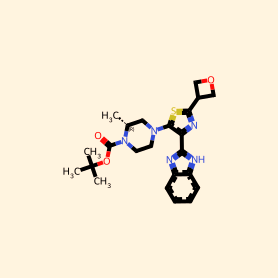 C[C@@H]1CN(c2sc(C3COC3)nc2-c2nc3ccccc3[nH]2)CCN1C(=O)OC(C)(C)C